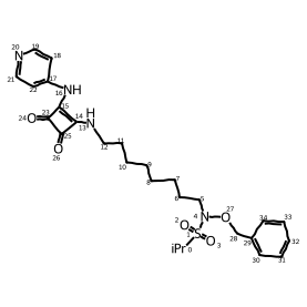 CC(C)S(=O)(=O)N(CCCCCCCCNc1c(Nc2ccncc2)c(=O)c1=O)OCc1ccccc1